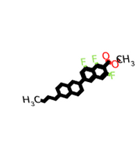 CCCCC1CCC2CC(c3cc(F)c4c(F)c(C(=O)OC)c(F)cc4c3)CCC2C1